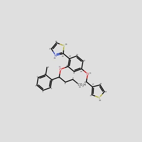 Cc1ccccc1C(CCC(=O)O)Oc1cc(OCc2ccsc2)ccc1-c1nccs1